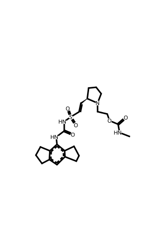 CNC(=O)OCCN1CCC[C@@H]1/C=C/S(=O)(=O)NC(=O)Nc1c2c(cc3c1CCC3)CCC2